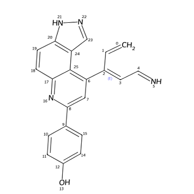 C=C/C(=C\C=N)c1cc(-c2ccc(O)cc2)nc2ccc3[nH]ncc3c12